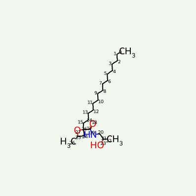 CCCCCCCCCCCCCCCCC1(C(=O)NCC(C)O)CC(C)O1